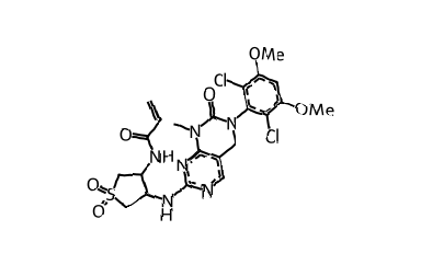 C=CC(=O)NC1CS(=O)(=O)CC1Nc1ncc2c(n1)N(C)C(=O)N(c1c(Cl)c(OC)cc(OC)c1Cl)C2